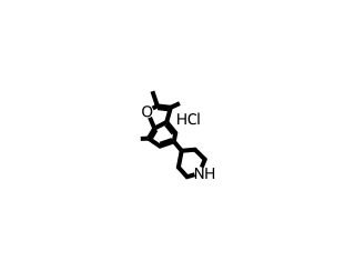 Cc1oc2c(C)cc(C3CCNCC3)cc2c1C.Cl